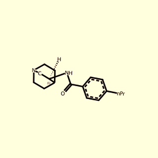 CCCc1ccc(C(=O)N[C@@H]2CN3CCC2CC3)cc1